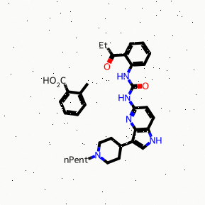 CCCCCN1CCC(c2c[nH]c3ccc(NC(=O)Nc4ccccc4C(=O)CC)nc23)CC1.Cc1ccccc1C(=O)O